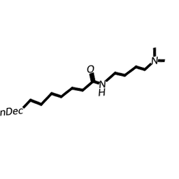 CCCCCCCCCCCCCCCCC(=O)NCCCCN(C)C